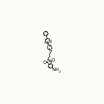 Nc1ccc2c(c1)C(=O)N(CCCCN1CCN(c3ncc(-c4ccccc4)cn3)CC1)C2=O